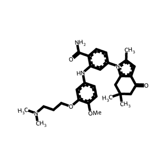 COc1ccc(Nc2cc(-n3c(C)cc4c3CC(C)(C)CC4=O)ccc2C(N)=O)cc1OCCCN(C)C